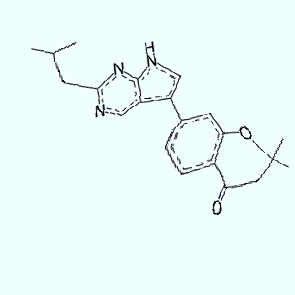 CC(C)Cc1ncc2c(-c3ccc4c(c3)OC(C)(C)CC4=O)c[nH]c2n1